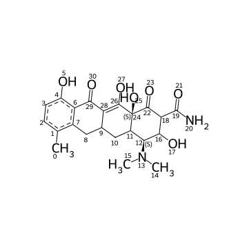 Cc1ccc(O)c2c1CC1CC3[C@H](N(C)C)C(O)C(C(N)=O)C(=O)[C@@]3(O)C(O)=C1C2=O